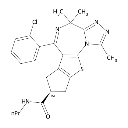 CCCNC(=O)[C@@H]1Cc2sc3c(c2C1)C(c1ccccc1Cl)=NC(C)(C)c1nnc(C)n1-3